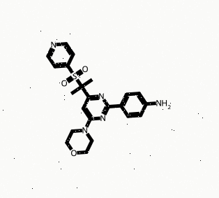 CC(C)(c1cc(N2CCOCC2)nc(-c2ccc(N)cc2)n1)S(=O)(=O)c1ccncc1